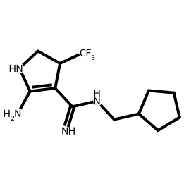 N=C(NCC1CCCC1)C1=C(N)NCC1C(F)(F)F